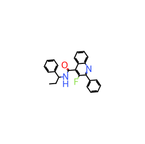 CCC(NC(=O)c1c(F)c(-c2ccccc2)nc2ccccc12)c1ccccc1